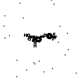 O=C(O)Nc1c[nH]c2ccc(CCOc3ccc(C(F)(F)F)cc3)cc12